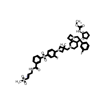 COC(=O)N[C@H]1CCC[C@@H]1C(CN1CCC1)(c1cccc(F)c1)C1CCN(CC2(C)CN(c3ccc(S(=O)(=O)c4cccc(C(=O)NC/C=C/S(C)(=O)=O)c4)cc3F)C2)CC1